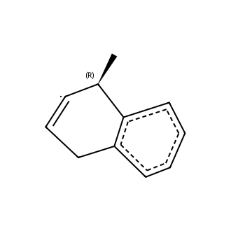 C[C@@H]1[C]=CCc2ccccc21